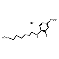 CCCCCCCCCCCCCCCCNc1ccc(C(=O)[O-])cc1F.[Na+]